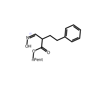 CCCCCOC(=O)C(/C=N\O)CCc1ccccc1